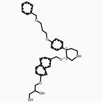 OCC(O)COc1ccc2ccc(CO[C@H]3CNCC[C@@H]3c3ccc(OCCCOCc4ccccc4)cc3)cc2c1